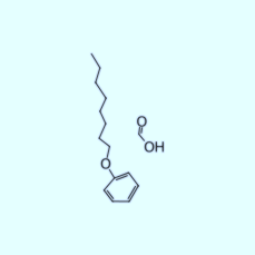 CCCCCCCCOc1ccccc1.O=CO